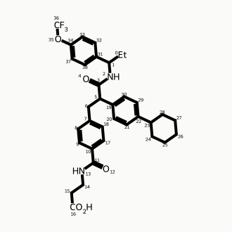 CCC(NC(=O)C(Cc1ccc(C(=O)NCCC(=O)O)cc1)c1ccc(C2CCCCC2)cc1)c1ccc(OC(F)(F)F)cc1